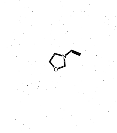 C=CN1CCOC1